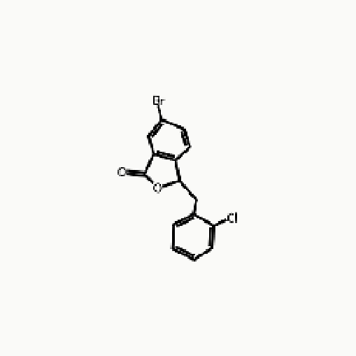 O=C1OC(Cc2ccccc2Cl)c2ccc(Br)cc21